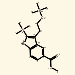 COC(=O)c1ccc2[nH]c([Si](C)(C)C)c(CCO[Si](C)(C)C)c2c1